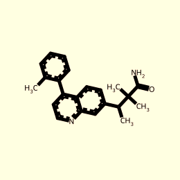 Cc1ccccc1-c1ccnc2cc(C(C)C(C)(C)C(N)=O)ccc12